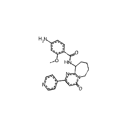 COc1cc(N)ccc1C(=O)NC1CCCCn2c1nc(-c1ccncc1)cc2=O